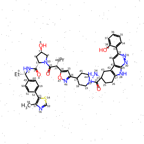 CC[C@H](NC(=O)[C@@H]1C[C@@H](O)CN1C(=O)[C@@H](c1cc(C2CCN(C(=O)[C@]3(N)CCc4[nH]c5nnc(-c6ccccc6O)cc5c4C3)CC2)no1)C(C)C)c1ccc(-c2scnc2C)cc1